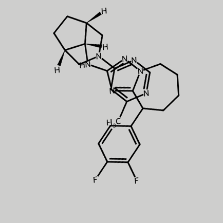 Cc1cc(N2C[C@H]3CC[C@@H](C2)[C@H]3Nc2nc3n(n2)CCCCC3c2ccc(F)c(F)c2)ncn1